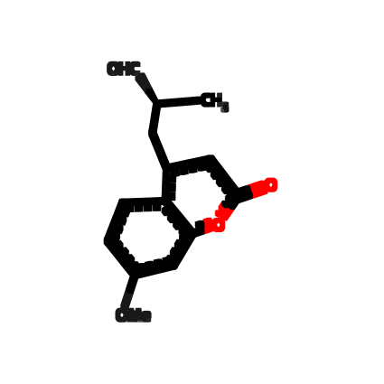 COc1ccc2c(C[C@H](C)C=O)cc(=O)oc2c1